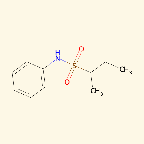 CCC(C)S(=O)(=O)Nc1ccccc1